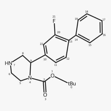 CC(C)(C)OC(=O)N1CCNCC1c1ccc(-c2ccccc2)c(F)c1